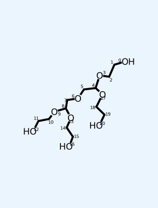 OCCOC(COCC(OCCO)OCCO)OCCO